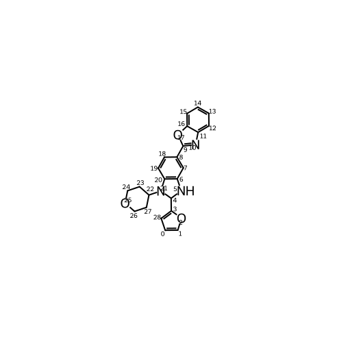 c1coc(C2Nc3cc(-c4nc5ccccc5o4)ccc3N2C2CCOCC2)c1